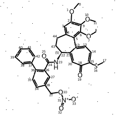 COc1cc2c(c(OC)c1OC)-c1ccc(SC)c(=O)cc1[C@@H](NC(=O)c1cc(CO[N+](=O)[O-])ccc1-c1ccccc1)CC2